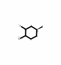 C[C@H]1CCC(Cl)C(F)C1